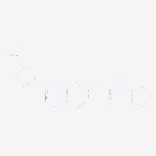 CC(C)c1ccc(-c2cnc3ccc(NC(=S)NC4CCCC4)nc3n2)o1